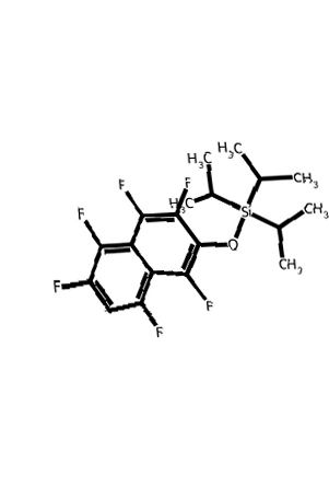 CC(C)[Si](Oc1c(F)c(F)c2c(F)c(F)[c]c(F)c2c1F)(C(C)C)C(C)C